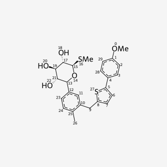 COc1ccc(-c2ccc(Cc3cc(C4O[C@H](SC)[C@@H](O)[C@H](O)[C@H]4O)ccc3C)s2)cc1